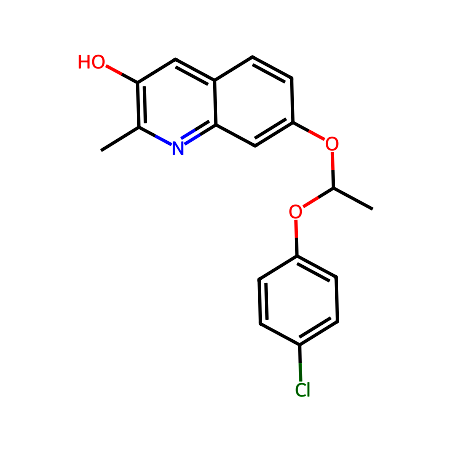 Cc1nc2cc(OC(C)Oc3ccc(Cl)cc3)ccc2cc1O